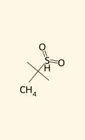 C.CC(C)(C)[SH](=O)=O